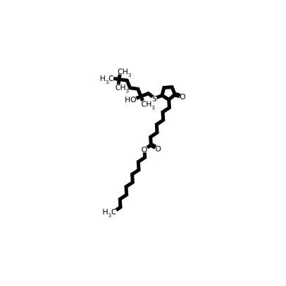 CCCCCCCCCCOC(=O)CCCCCCC1C(=O)CCC1SCC(C)(O)CCCC(C)(C)C